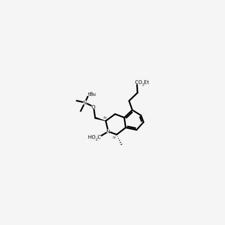 CCOC(=O)CCc1cccc2c1C[C@H](CO[Si](C)(C)C(C)(C)C)N(C(=O)O)[C@H]2C